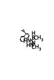 CB/C(=N/NC)Nc1ccc(C2CC2)c2ccccc12